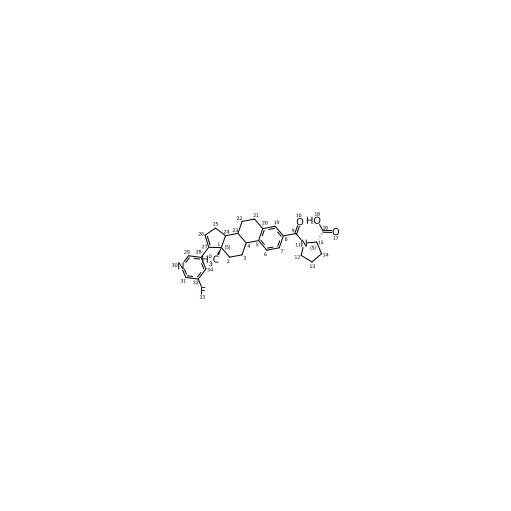 C[C@]12CCC3c4ccc(C(=O)N5CCC[C@H]5C(=O)O)cc4CCC3C1CC=C2c1cncc(F)c1